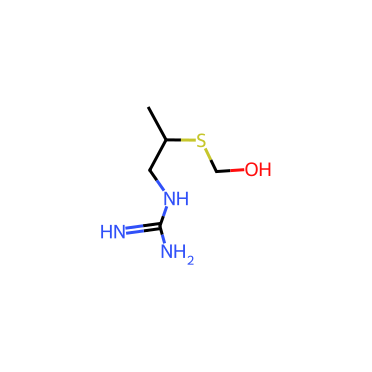 CC(CNC(=N)N)SCO